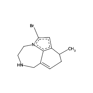 CC1CC=C2CNCCn3c(Br)cc1c32